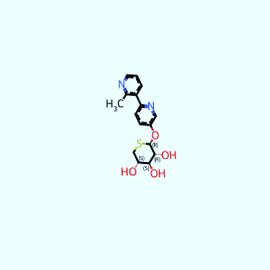 Cc1ncccc1-c1ccc(O[C@@H]2SC[C@@H](O)[C@H](O)[C@H]2O)cn1